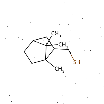 CC1(C)C2CCC1(C)C(CS)C2